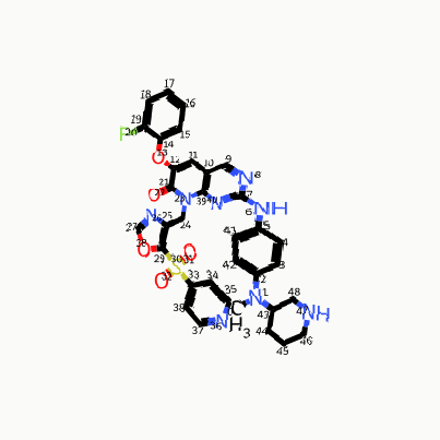 CN(c1ccc(Nc2ncc3cc(Oc4ccccc4F)c(=O)n(Cc4ncoc4S(=O)(=O)c4ccncc4)c3n2)cc1)C1CCCNC1